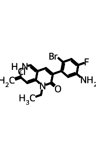 C=C(Cl)/C=c1\c(=C/N)cc(-c2cc(N)c(F)cc2Br)c(=O)n1CC